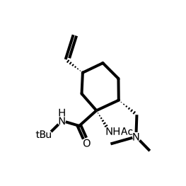 C=C[C@@H]1CC[C@H](CN(C)C)[C@@](NC(C)=O)(C(=O)NC(C)(C)C)C1